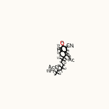 CCCC(C)(C)CC[C@@](C)(CCC(C)(C)[C@]1(C)CC[C@H]2[C@H](C)C(=O)C(C#N)=C[C@]2(C)[C@H]1CC(C)=O)COC(C)=O